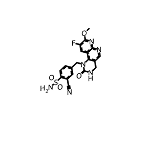 COc1nc2ncc3c(c2cc1F)N(Cc1ccc(S(N)(=O)=O)c(C#N)c1)C(=O)NC3